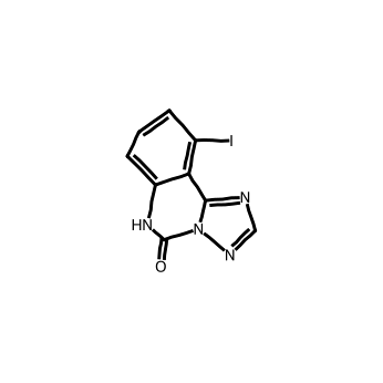 O=c1[nH]c2cccc(I)c2c2ncnn12